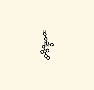 c1ccc(-c2cc(-c3ccc(-c4ccncc4)cc3)nc(-c3cccc(-c4c5ccccc5c(-c5ccc6ccccc6c5)c5ccccc45)c3)n2)cc1